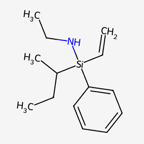 C=C[Si](NCC)(c1ccccc1)C(C)CC